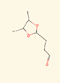 CC1OC(CCC=O)OC1C